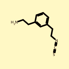 NCCc1cccc(CCN=C=S)c1